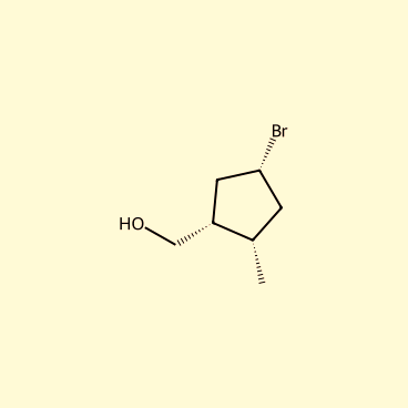 C[C@H]1C[C@@H](Br)C[C@H]1CO